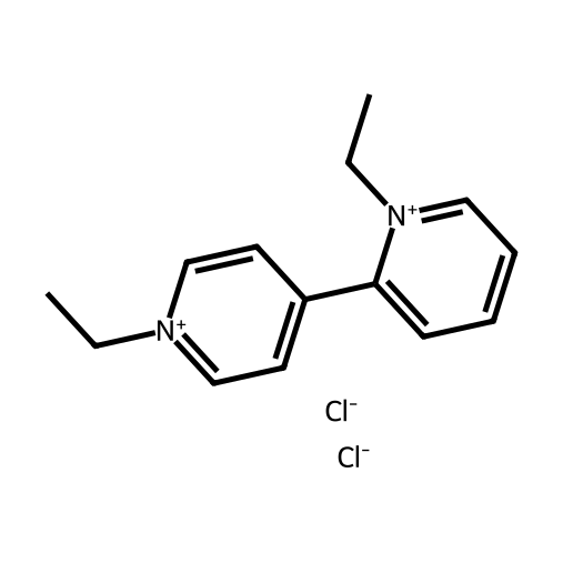 CC[n+]1ccc(-c2cccc[n+]2CC)cc1.[Cl-].[Cl-]